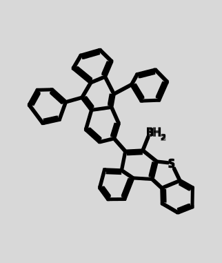 Bc1c(-c2ccc3c(-c4ccccc4)c4ccccc4c(-c4ccccc4)c3c2)c2ccccc2c2c1sc1ccccc12